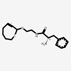 N[C@@H](Cc1ccccc1)C(=O)NCCOC1/C=C\CCCCC1